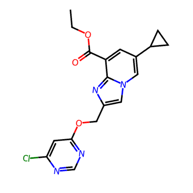 CCOC(=O)c1cc(C2CC2)cn2cc(COc3cc(Cl)ncn3)nc12